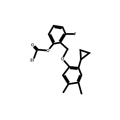 CCC(=O)Oc1cccc(F)c1COc1cc(C)c(C)cc1C1CC1